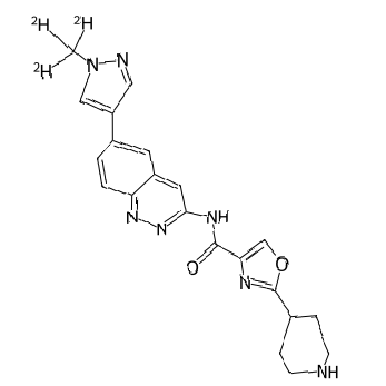 [2H]C([2H])([2H])n1cc(-c2ccc3nnc(NC(=O)c4coc(C5CCNCC5)n4)cc3c2)cn1